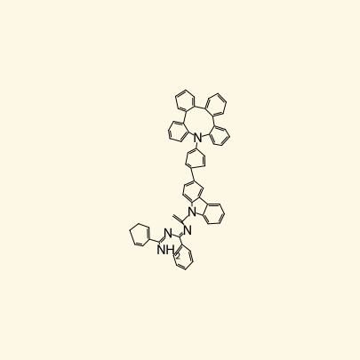 C=C(/N=C(\N=C(/N)C1=CCCC=C1)c1ccccc1)n1c2ccccc2c2cc(-c3ccc(-n4c5ccccc5c5ccccc5c5ccccc5c5ccccc54)cc3)ccc21